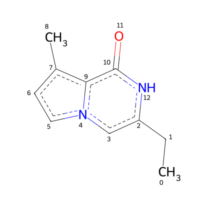 CCc1cn2ccc(C)c2c(=O)[nH]1